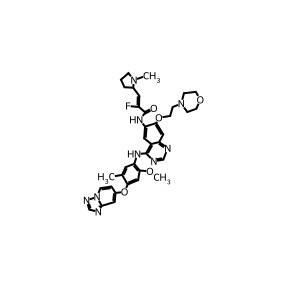 COc1cc(Oc2ccn3ncnc3c2)c(C)cc1Nc1ncnc2cc(OCCN3CCOCC3)c(NC(=O)C(F)=CC3CCCN3C)cc12